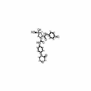 C#C[C@@]1(O)C[C@H](C(=O)Nc2ccc(N3CCOCC3=O)cc2)N(C(=O)Nc2ccc(Cl)cc2)C1